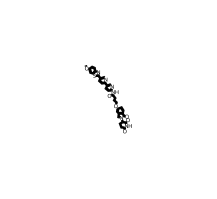 COc1ccc2nc(-c3ccc(-c4ccc(NC(=O)CCCOc5ccc6c(c5)CN(C5CCC(=O)NC5=O)C6=O)nc4)nc3)sc2c1